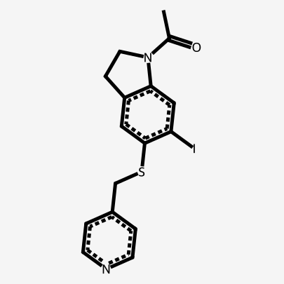 CC(=O)N1CCc2cc(SCc3ccncc3)c(I)cc21